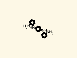 Nc1ccccc1Nc1ccc(Nc2ccccc2N)cc1